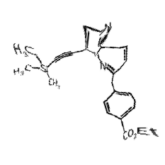 CCOC(=O)c1ccc(-c2ccc3ncc(C#C[Si](C)(C)C)n3n2)cc1